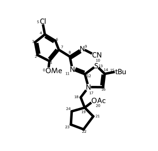 COc1ccc(Cl)cc1C(=NC#N)/N=c1\sc(C(C)(C)C)cn1CC1(OC(C)=O)CCCC1